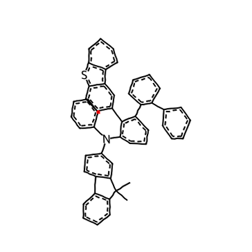 CC1(C)c2ccccc2-c2ccc(N(c3ccccc3)c3cccc(-c4ccccc4-c4ccccc4)c3-c3ccc4sc5ccccc5c4c3)cc21